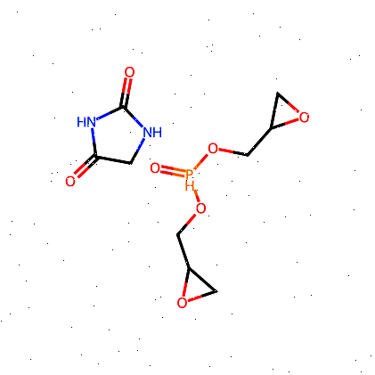 O=C1CNC(=O)N1.O=[PH](OCC1CO1)OCC1CO1